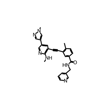 CNc1ncc(-c2cnn(C)c2)cc1C#Cc1cc(C(=O)NCc2cccnc2)ccc1C